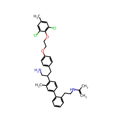 C=C(C)NCCc1ccccc1-c1ccc(C(CN)Cc2ccc(OCCOc3c(Cl)cc(C)cc3Cl)cc2)c(C)c1